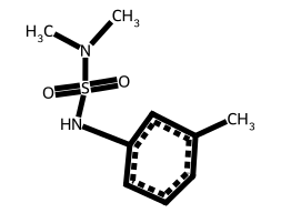 Cc1cccc(NS(=O)(=O)N(C)C)c1